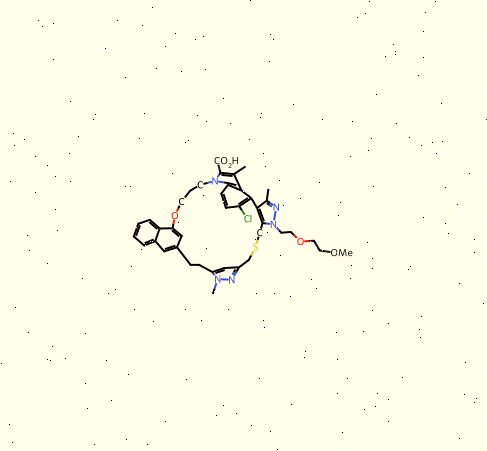 COCCOCCn1nc(C)c2c1CSCc1cc(n(C)n1)CCc1cc(c3ccccc3c1)OCCCn1c(C(=O)O)c(C)c3c-2c(Cl)ccc31